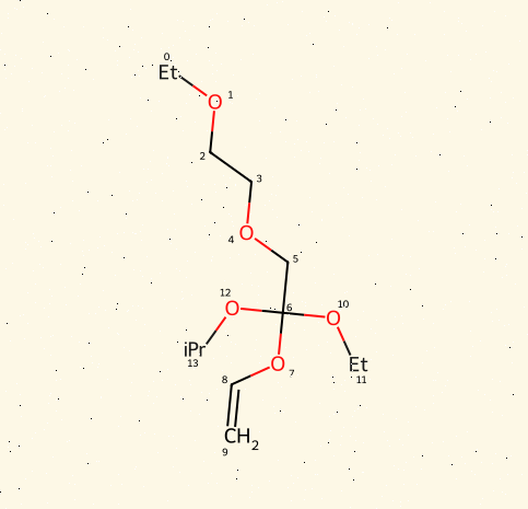 [CH2]COCCOCC(OC=C)(OCC)OC(C)C